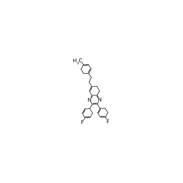 CC1=CC=C(CCC2=Cc3nc(C4C=CC(F)=CC4)c(C4=CC=C(F)CC4)nc3CC2)CC1